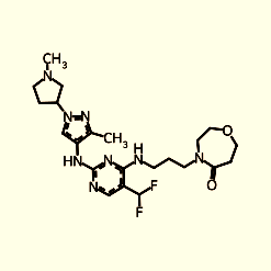 Cc1nn(C2CCN(C)C2)cc1Nc1ncc(C(F)F)c(NCCCN2CCOCCC2=O)n1